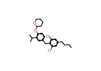 CCCCc1cc(Cl)c(Cc2ccc(OC3CCCCO3)c(C(C)C)c2)c(Cl)c1